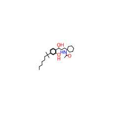 CCCCCCC(C)(C)c1ccc(C(O)CCC2(NC(C)=O)CCCCC2)c(O)c1